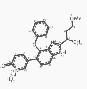 COCCC(C)c1nc2c(Oc3ccccc3)c(-c3ccc(=O)n(C)c3)ccc2[nH]1